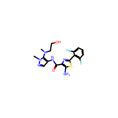 CN(CCO)c1c(NC(=O)c2nc(-c3c(F)cccc3F)sc2N)cnn1C